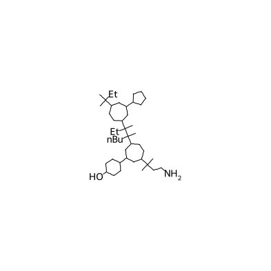 CCCCC(C)(C1CCC(C(C)(C)CCN)CC(C2CCC(O)CC2)C1)C(C)(CC)C1CCC(C(C)(C)CC)CC(C2CCCC2)C1